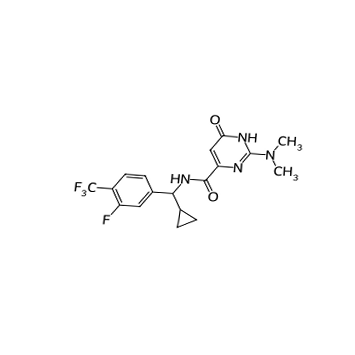 CN(C)c1nc(C(=O)NC(c2ccc(C(F)(F)F)c(F)c2)C2CC2)cc(=O)[nH]1